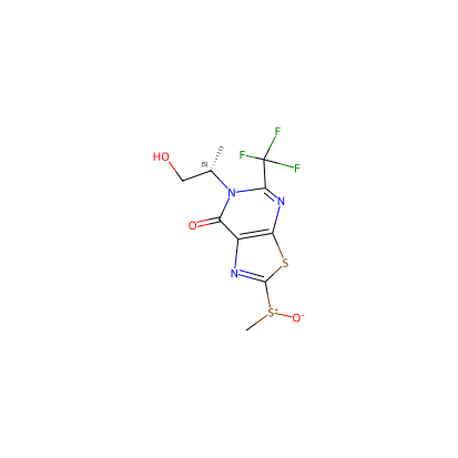 C[C@@H](CO)n1c(C(F)(F)F)nc2sc([S+](C)[O-])nc2c1=O